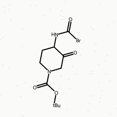 CC(C)(C)OC(=O)N1CCC(NC(=O)Br)C(=O)C1